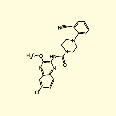 COc1nc2cc(Cl)ccc2nc1NC(=O)N1CCN(c2ccccc2C#N)CC1